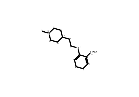 COC1=C[CH]CC=C1OCCC1CCN(C)CC1